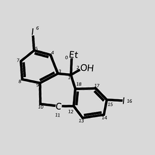 CCC1(O)c2cc(I)ccc2CCc2ccc(I)cc21